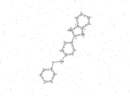 c1ccc(C[Se]c2ccc(-c3nc4ccccc4[nH]3)cc2)cc1